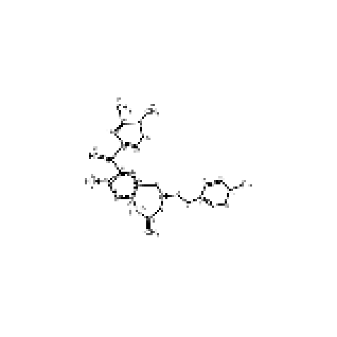 C=C1CN(CCC2=CCC(F)C=C2)Cc2cc(C(=N)C3=CCN(C)C(C)=C3)c(N)cc2N1